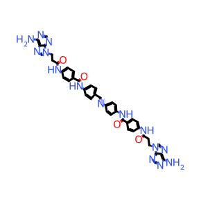 Nc1ncnc2c1ncn2CCC(=O)Nc1ccc(C(=O)Nc2ccc(/C=N/c3ccc(NC(=O)c4ccc(NC(=O)CCn5cnc6c(N)ncnc65)cc4)cc3)cc2)cc1